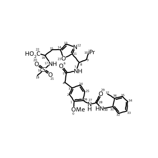 COc1cc(CC(=O)NC(CC(C)C)c2ncc(CC(NS(C)(=O)=O)C(=O)O)o2)ccc1NC(=O)Nc1ccccc1C